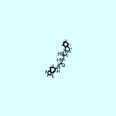 Cn1cnc2ccc(NCC(=O)NCC(O)CN3CCc4ccccc4C3)cc21